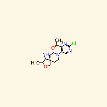 CC(=O)c1nc(Cl)ncc1N1CCC2(CC1)CO[C@@H](C)[C@H]2N